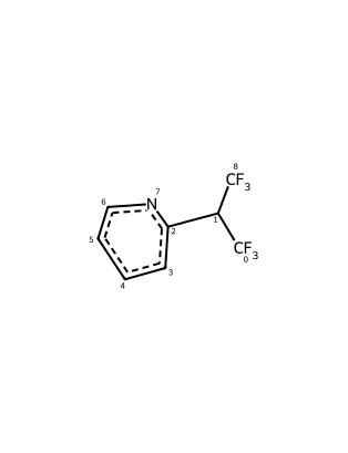 FC(F)(F)C(c1ccccn1)C(F)(F)F